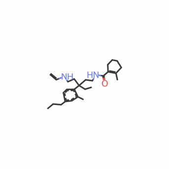 C=CNCCC(CC)(CCNC(=O)C1=C(C)CCCC1)c1ccc(CCC)cc1C